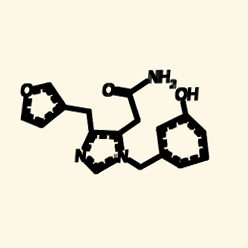 NC(=O)Cc1c(Cc2ccoc2)ncn1Cc1cccc(O)c1